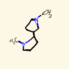 CN1CCC(C2CCCN2C)C1